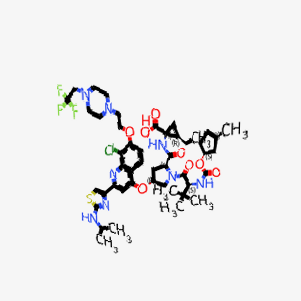 CC[C@@H]1C[C@]1(NC(=O)[C@@H]1C[C@@H](Oc2cc(-c3csc(NC(C)C)n3)nc3c(Cl)c(OCCN4CCN(CC(F)(F)F)CC4)ccc23)CN1C(=O)[C@@H](NC(=O)O[C@H]1CC[C@@H](C)C1)C(C)(C)C)C(=O)O